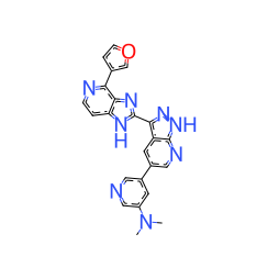 CN(C)c1cncc(-c2cnc3[nH]nc(-c4nc5c(-c6ccoc6)nccc5[nH]4)c3c2)c1